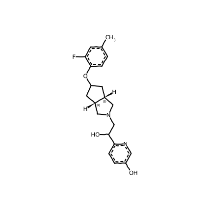 Cc1ccc(OC2C[C@@H]3CN(CC(O)c4ccc(O)cn4)C[C@@H]3C2)c(F)c1